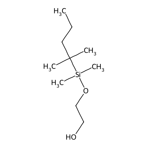 CCCC(C)(C)[Si](C)(C)OCCO